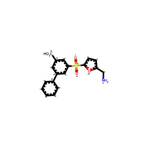 NCc1ccc(S(=O)(=O)c2cc(C(=O)O)cc(-c3ccccc3)c2)o1